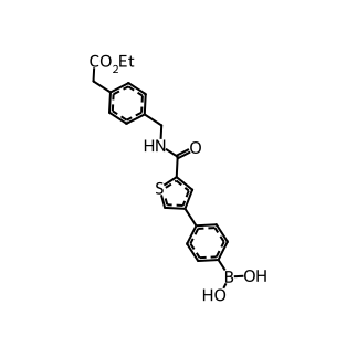 CCOC(=O)Cc1ccc(CNC(=O)c2cc(-c3ccc(B(O)O)cc3)cs2)cc1